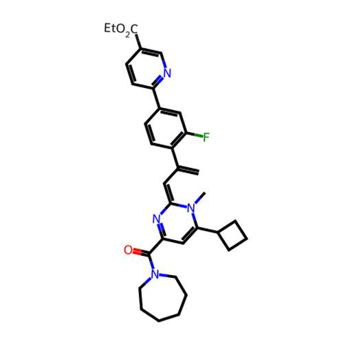 C=C(/C=C1/N=C(C(=O)N2CCCCCC2)C=C(C2CCC2)N1C)c1ccc(-c2ccc(C(=O)OCC)cn2)cc1F